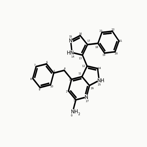 Nc1cc(Cc2ccccc2)c2c(-c3[nH]ncc3-c3ccccc3)c[nH]c2n1